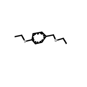 CCOCc1ccc(SCC)cc1